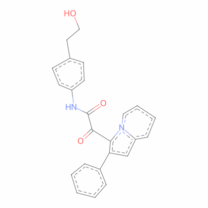 O=C(Nc1ccc(CCO)cc1)C(=O)c1c(-c2ccccc2)cc2ccccn12